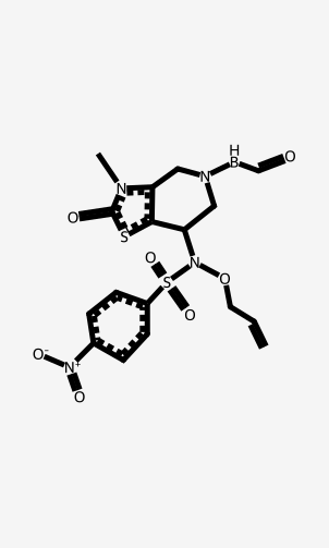 C=CCON(C1CN(BC=O)Cc2c1sc(=O)n2C)S(=O)(=O)c1ccc([N+](=O)[O-])cc1